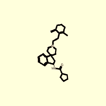 C=C1CCCC(C)=C1CCN1CCC2(CC1)C[C@H](NC(=O)C1CCCC1)c1ccccc12